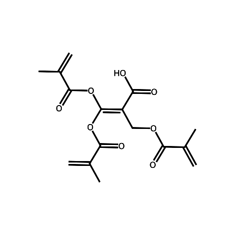 C=C(C)C(=O)OCC(C(=O)O)=C(OC(=O)C(=C)C)OC(=O)C(=C)C